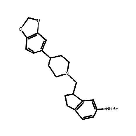 CC(=O)Nc1ccc2c(c1)C(CN1CCC(c3ccc4c(c3)OCO4)CC1)CC2